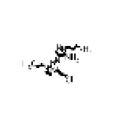 CCCn1cc[n+](CCCCl)c1/N=N/c1cnn(CCCN)c1N